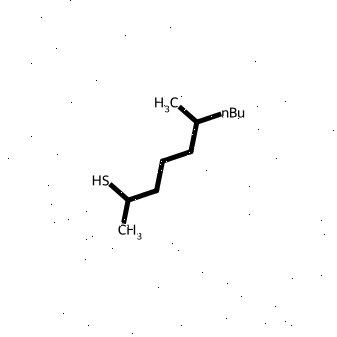 CCCCC(C)CCCC(C)S